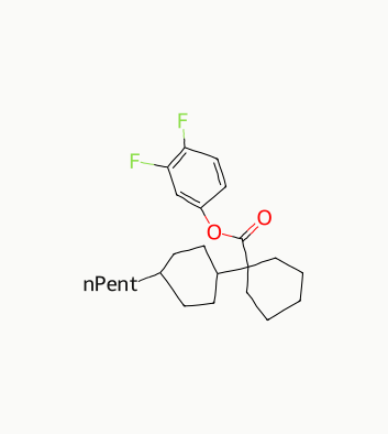 CCCCCC1CCC(C2(C(=O)Oc3ccc(F)c(F)c3)CCCCC2)CC1